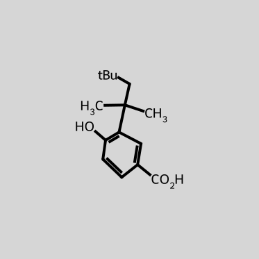 CC(C)(C)CC(C)(C)c1cc(C(=O)O)ccc1O